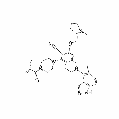 C=C(F)C(=O)N1CCN(c2c(C#N)c(OC[C@@H]3CCCN3C)nc3c2CCN(c2c(C)ccc4[nH]ncc24)C3)CC1